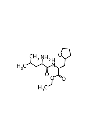 CCOC(=O)[C@H](CC1CCCO1)NC(=O)C(N)CC(C)C